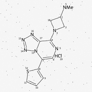 CNC1CN(c2ncc(-c3cccs3)n3nnnc23)C1.Cl